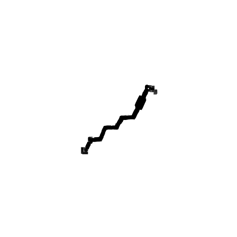 [CH2]CSCCCCCC#CC